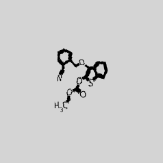 CCOC(=O)Oc1sc2ccccc2c1OCc1ccccc1C#N